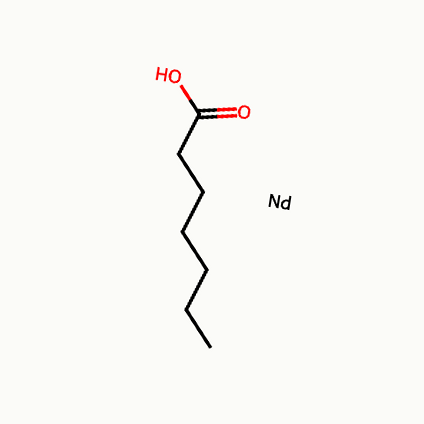 CCCCCCC(=O)O.[Nd]